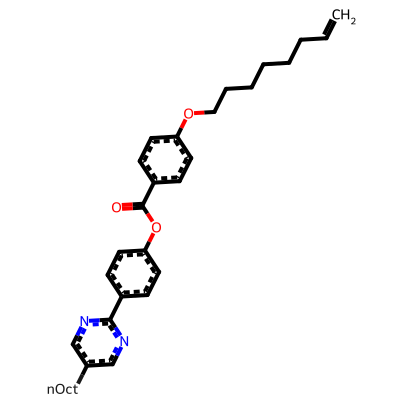 C=CCCCCCCOc1ccc(C(=O)Oc2ccc(-c3ncc(CCCCCCCC)cn3)cc2)cc1